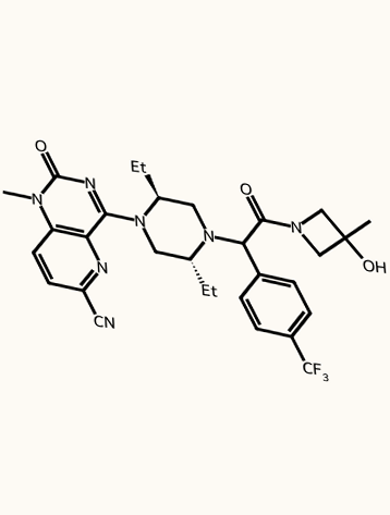 CC[C@H]1CN(C(C(=O)N2CC(C)(O)C2)c2ccc(C(F)(F)F)cc2)[C@H](CC)CN1c1nc(=O)n(C)c2ccc(C#N)nc12